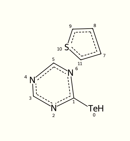 [TeH]c1ncncn1.c1ccsc1